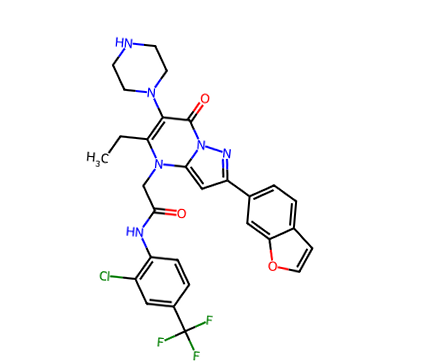 CCc1c(N2CCNCC2)c(=O)n2nc(-c3ccc4ccoc4c3)cc2n1CC(=O)Nc1ccc(C(F)(F)F)cc1Cl